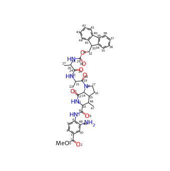 COC(=O)c1ccc(NC(=O)C2NC(=O)C3C(CCN3C(=O)C(C)NC(=O)C(C)NC(=O)OCC3c4ccccc4-c4ccccc43)C2C)c(N)c1